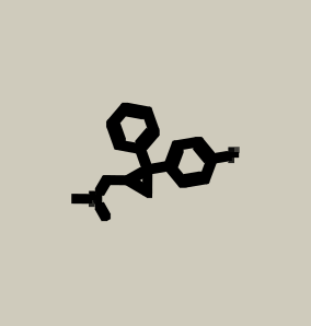 CN(C)CC1CC1(c1ccccc1)c1ccc(F)cc1